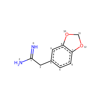 N=C(N)Cc1ccc2c(c1)OCO2